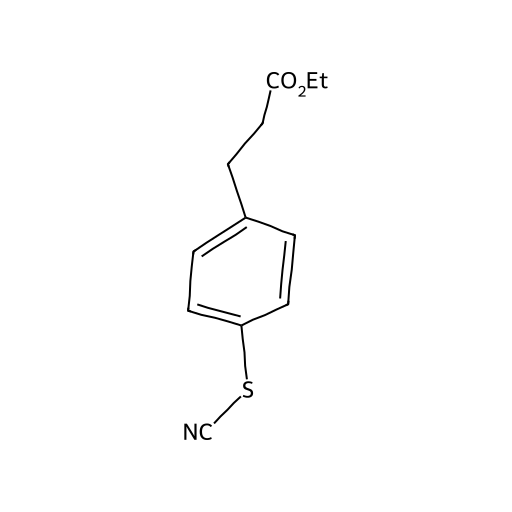 CCOC(=O)CCc1ccc(SC#N)cc1